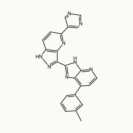 Cc1cccc(-c2ccnc3[nH]c(-c4n[nH]c5ccc(-c6cncnc6)nc45)nc23)c1